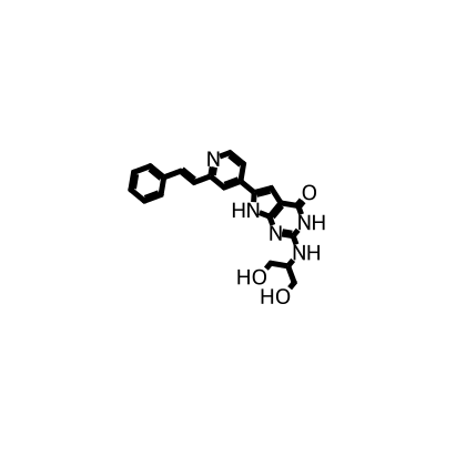 O=c1[nH]c(NC(CO)CO)nc2[nH]c(-c3ccnc(C=Cc4ccccc4)c3)cc12